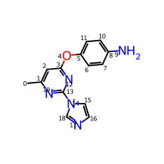 Cc1cc(Oc2ccc(N)cc2)nc(-n2ccnc2)n1